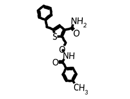 Cc1ccc(C(=O)NOCc2sc(Cc3ccccc3)cc2C(N)=O)cc1